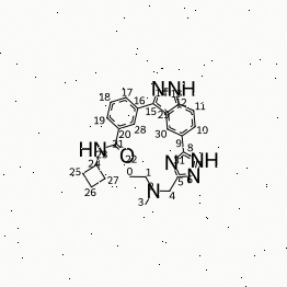 CCN(C)Cc1n[nH]c(-c2ccc3[nH]nc(-c4cccc(C(=O)NC5CCC5)c4)c3c2)n1